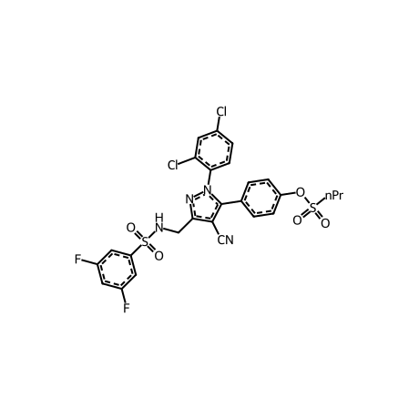 CCCS(=O)(=O)Oc1ccc(-c2c(C#N)c(CNS(=O)(=O)c3cc(F)cc(F)c3)nn2-c2ccc(Cl)cc2Cl)cc1